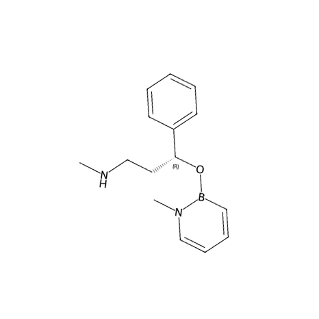 CNCC[C@@H](OB1C=CC=CN1C)c1ccccc1